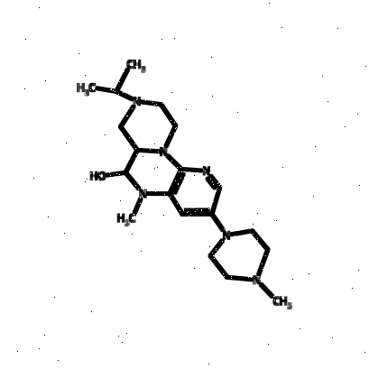 CC(C)N1CCN2c3ncc(N4CCN(C)CC4)cc3N(C)C(O)C2C1